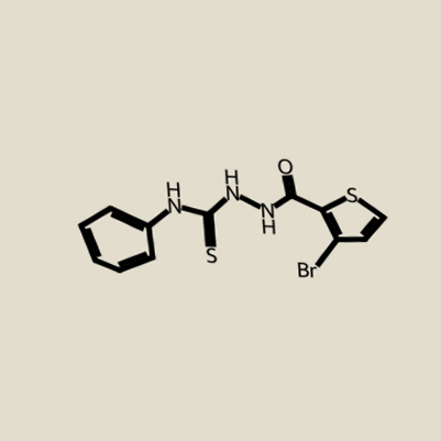 O=C(NNC(=S)Nc1ccccc1)c1sccc1Br